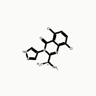 C[C@H](N)c1nc2c(Cl)ccc(Cl)c2c(=O)n1-c1cn[nH]c1